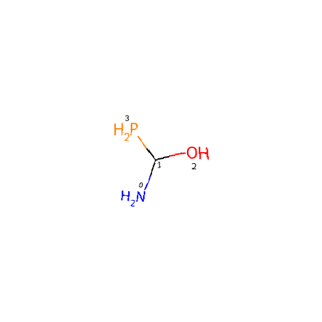 NC(O)P